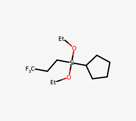 CCO[Si](CCC(F)(F)F)(OCC)C1CCCC1